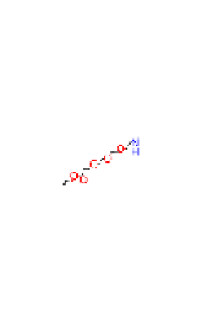 C=CCOC(=O)CCOCCOCCOCCNC